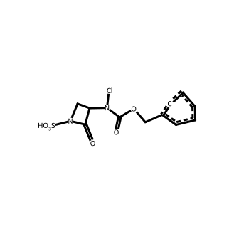 O=C(OCc1ccccc1)N(Cl)C1CN(S(=O)(=O)O)C1=O